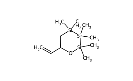 C=CC1C[Si](C)(C)[Si](C)(C)[Si](C)(C)O1